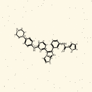 O=C(Nc1cccc(-c2nc3sccn3c2-c2ccnc(Nc3ccc(N4CCOCC4)cc3)n2)c1)c1cccs1